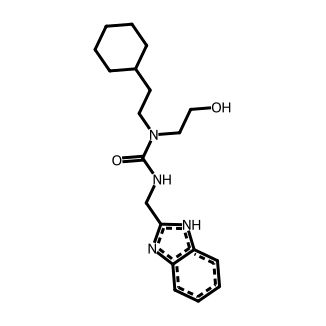 O=C(NCc1nc2ccccc2[nH]1)N(CCO)CCC1CCCCC1